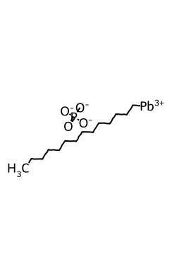 CCCCCCCCCCCCC[CH2][Pb+3].O=P([O-])([O-])[O-]